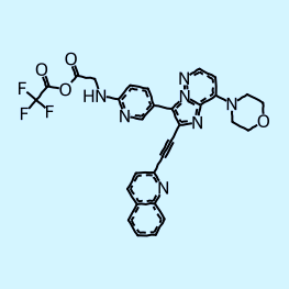 O=C(CNc1ccc(-c2c(C#Cc3ccc4ccccc4n3)nc3c(N4CCOCC4)ccnn23)cn1)OC(=O)C(F)(F)F